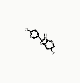 Clc1ccc(-c2nc3cc(Br)cnc3[nH]2)cn1